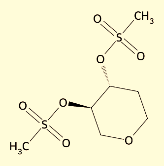 CS(=O)(=O)O[C@@H]1CCOC[C@H]1OS(C)(=O)=O